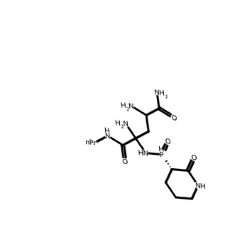 CCCNC(=O)C(N)(CC(N)C(N)=O)N[PH](=O)[C@H]1CCCNC1=O